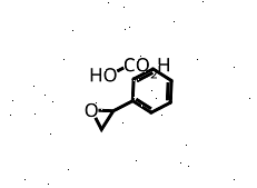 O=C(O)O.c1ccc(C2CO2)cc1